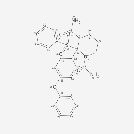 NC(=O)C1NCCN(C(N)=O)C1(c1ccc(Oc2ccccc2)cc1)S(=O)(=O)c1ccccc1